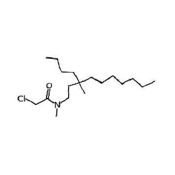 CCCCCCCC(C)(CCCC)CCN(C)C(=O)CCl